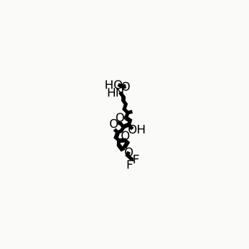 CC(=Cc1ccc(OCC(F)F)cc1)C(=O)c1c(O)cc(C(C)CC/C=C/NC(=O)O)oc1=O